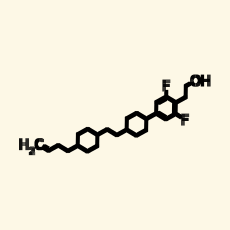 C=CCCC1CCC(CCC2CCC(c3cc(F)c(CCO)c(F)c3)CC2)CC1